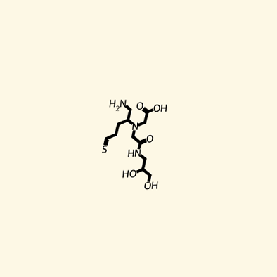 NCC(CCC=S)N(CC(=O)O)CC(=O)NCC(O)CO